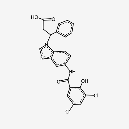 O=C(O)CC(c1ccccc1)n1cnc2cc(NC(=O)c3cc(Cl)cc(Cl)c3O)ccc21